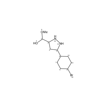 COC(O)C1CC(C2CCC(Br)CC2)NN1